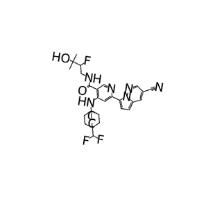 CC(C)(O)C(F)CNC(=O)c1cnc(-c2ccc3cc(C#N)cnn23)cc1NC12CCC(C(F)F)(CC1)CC2